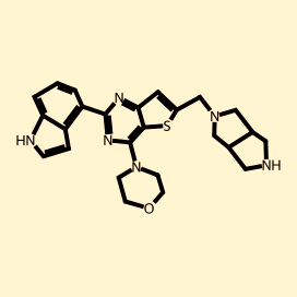 c1cc(-c2nc(N3CCOCC3)c3sc(CN4CC5CNCC5C4)cc3n2)c2cc[nH]c2c1